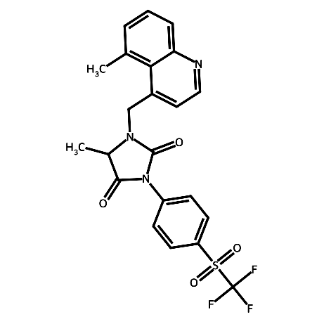 Cc1cccc2nccc(CN3C(=O)N(c4ccc(S(=O)(=O)C(F)(F)F)cc4)C(=O)C3C)c12